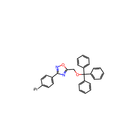 CC(C)c1ccc(-c2noc(COC(c3ccccc3)(c3ccccc3)c3ccccc3)n2)cc1